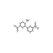 O=[N+]([O-])c1cccc(-c2cccc([N+](=O)[O-])c2)c1.[Na+]